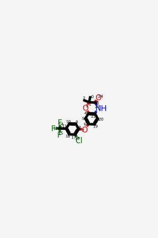 CC1(C)Oc2cc(Oc3ccc(C(F)(F)F)cc3Cl)ccc2NC1=O